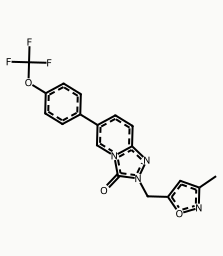 Cc1cc(Cn2nc3ccc(-c4ccc(OC(F)(F)F)cc4)cn3c2=O)on1